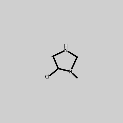 CN1CN[CH]C1Cl